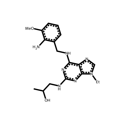 CCn1cnc2c(NCc3cccc(OC)c3N)nc(NCC(C)O)nc21